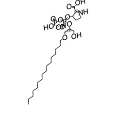 CCCCCCCCCCCCCCCCOC[C@H](CO)OP(=O)(OC1CCN[C@@H]1C(=O)O)OP(=O)(O)O